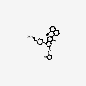 C#Cc1cccc2cccc(-c3ncc4c(N5CCN(C=CC=O)CC5)nc(OC[C@@H]5CCCN5C)nc4c3F)c12